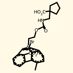 Cc1ccc2c3c(Br)c(n2CCOC(=O)NCC2(C(=O)O)CCCC2)-c2cccc(c2C(=O)O)-c13